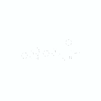 CC(C(=O)OCc1ccccc1)N1CCN(CC2CN(c3ccc(C(=N)NC(=O)Oc4ccccc4)cc3)C(=O)O2)CC1